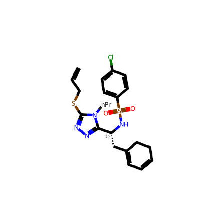 C=CCSc1nnc([C@@H](CC2=CC=CCC2)NS(=O)(=O)c2ccc(Cl)cc2)n1CCC